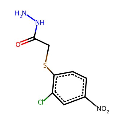 NNC(=O)CSc1ccc([N+](=O)[O-])cc1Cl